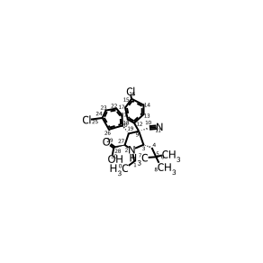 CCN1[C@@H](CC(C)(C)C)[C@](C#N)(c2ccc(Cl)cc2)[C@@H](c2cccc(Cl)c2)[C@@H]1C(=O)O